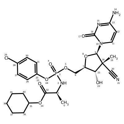 C[C@H](NP(=O)(OC[C@H]1O[C@@H](n2ccc(N)nc2=O)[C@](C)(C#N)[C@@H]1O)Oc1ccc(Cl)cc1)C(=O)OC1CCCCC1